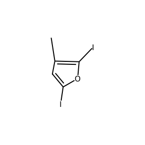 Cc1cc(I)oc1I